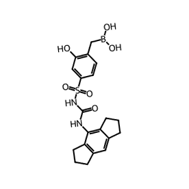 O=C(Nc1c2c(cc3c1CCC3)CCC2)NS(=O)(=O)c1ccc(CB(O)O)c(O)c1